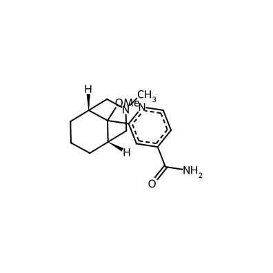 COC1(c2cc(C(N)=O)ccn2)[C@@H]2CCC[C@H]1CN(C)C2